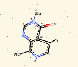 Cc1cnc(C#N)c2ncn(C(C)(C)C)c(=O)c12